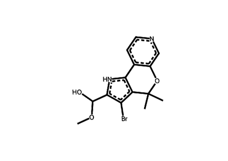 COC(O)c1[nH]c2c(c1Br)C(C)(C)Oc1cnccc1-2